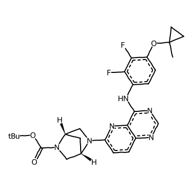 CC(C)(C)OC(=O)N1C[C@@H]2C[C@H]1CN2c1ccc2ncnc(Nc3ccc(OC4(C)CC4)c(F)c3F)c2n1